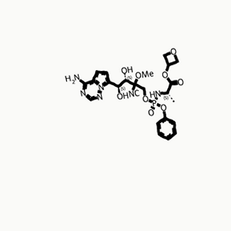 COC(C#N)(COP(=O)(N[C@@H](C)C(=O)OC1COC1)Oc1ccccc1)[C@@H](O)[C@@H](O)c1ccc2c(N)ncnn12